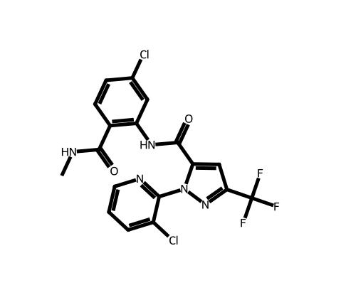 CNC(=O)c1ccc(Cl)cc1NC(=O)c1cc(C(F)(F)F)nn1-c1ncccc1Cl